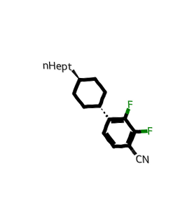 CCCCCCC[C@H]1CC[C@H](c2ccc(C#N)c(F)c2F)CC1